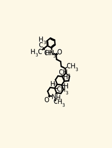 C[C@H](CCCC(=O)Nc1ccccc1C(C)(C)C)[C@H]1CC[C@H]2[C@@H]3CC[C@H]4N(C)C(=O)CC[C@]4(C)[C@H]3CC[C@]12C